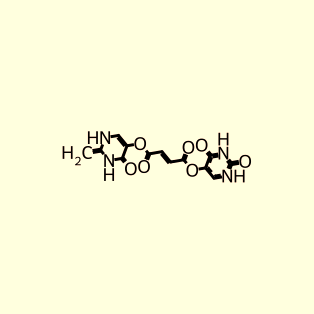 C=C1NC=C(OC(=O)/C=C/C(=O)Oc2c[nH]c(=O)[nH]c2=O)C(=O)N1